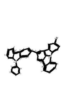 Brc1ccc2c(c1)c1cc(-c3ccc4c5ccccc5n(-c5ccccc5)c4c3)cc3c4ccccc4n2c31